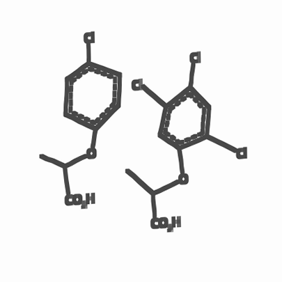 CC(Oc1cc(Cl)c(Cl)cc1Cl)C(=O)O.CC(Oc1ccc(Cl)cc1)C(=O)O